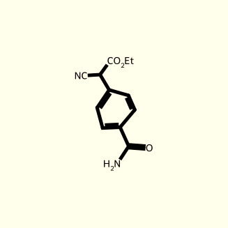 CCOC(=O)C(C#N)c1ccc(C(N)=O)cc1